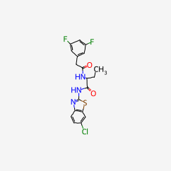 CCC(NC(=O)Cc1cc(F)cc(F)c1)C(=O)Nc1nc2ccc(Cl)cc2s1